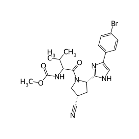 COC(=O)NC(C(=O)N1C[C@@H](C#N)C[C@H]1c1nc(-c2ccc(Br)cc2)c[nH]1)C(C)C